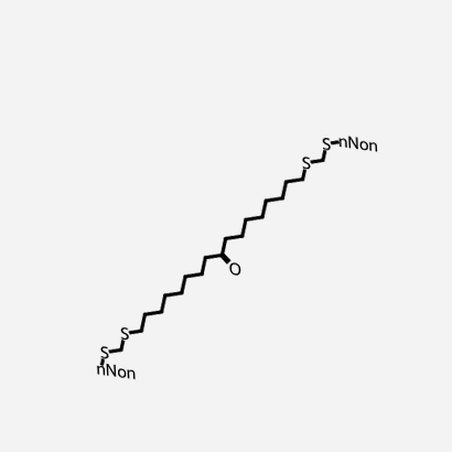 CCCCCCCCCSCSCCCCCCCCC(=O)CCCCCCCCSCSCCCCCCCCC